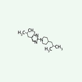 CC(C)Cc1cnc(N2CCC(CC(C)C)CC2)nc1